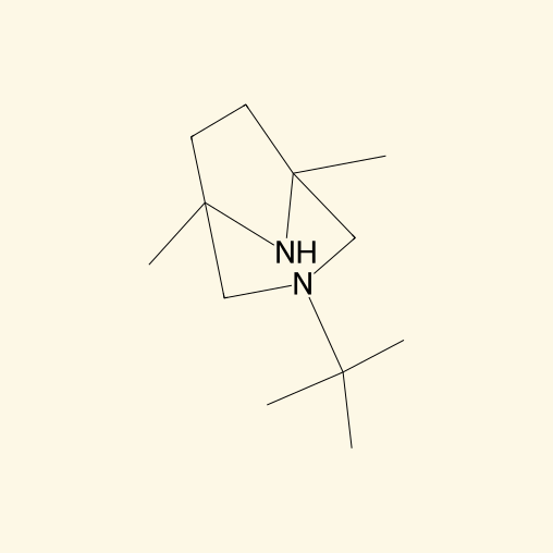 CC12CCC(C)(CN(C(C)(C)C)C1)N2